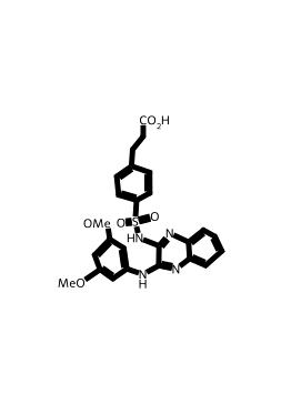 COc1cc(Nc2nc3ccccc3nc2NS(=O)(=O)c2ccc(CCC(=O)O)cc2)cc(OC)c1